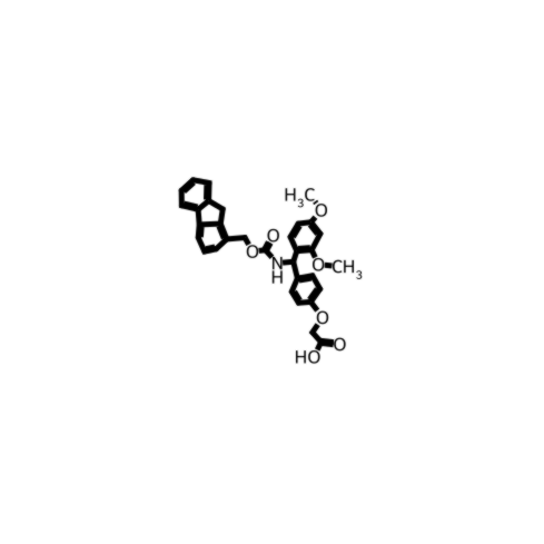 COc1ccc(C(NC(=O)OCc2cccc3c2Cc2ccccc2-3)c2ccc(OCC(=O)O)cc2)c(OC)c1